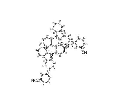 N#Cc1cccc(-c2ccc3c(c2)c2ccccc2n3-c2ccc(C#N)cc2-c2ccncc2-n2c3ccccc3c3cc(-c4cccc(C#N)c4)ccc32)c1